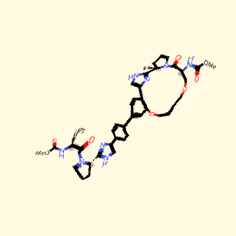 COC(=O)N[C@H]1COCCCCOc2cc(-c3ccc(-c4c[nH]c([C@@H]5CCCN5C(=O)[C@@H](NC(=O)OC)C(C)C)n4)cc3)ccc2-c2c[nH]c(n2)[C@@H]2CCCN2C1=O